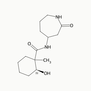 CC1(C(=O)NC2CCCNC(=O)C2)CCCC[C@@H]1O